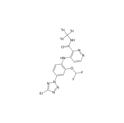 [2H]C([2H])([2H])NC(=O)c1nnccc1Nc1ccc(-n2nnc(CC)n2)cc1OC(F)F